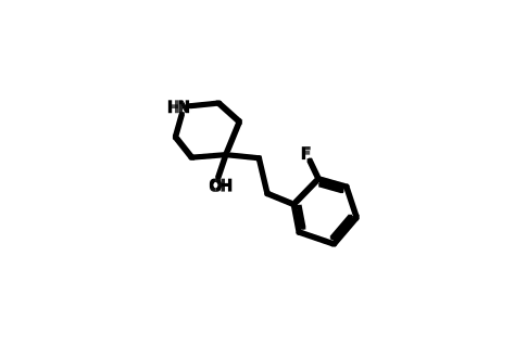 OC1(CCc2ccccc2F)CCNCC1